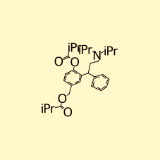 CC(C)C(=O)OCc1ccc(OC(=O)C(C)C)c(C(CCN(C(C)C)C(C)C)c2ccccc2)c1